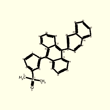 CP(C)(=O)c1cccc(-c2c3ccccc3c(-c3ccc4ccccc4c3)c3ccccc23)c1